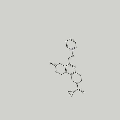 C[C@H]1Cc2c(COc3ccccc3)nc3c(c2CO1)CN(C(=O)C1CC1)CC3